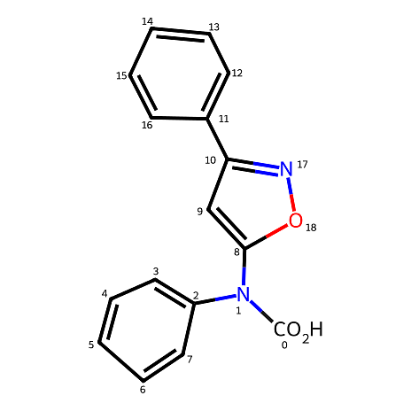 O=C(O)N(c1ccccc1)c1cc(-c2ccccc2)no1